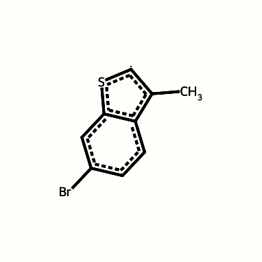 Cc1[c]sc2cc(Br)ccc12